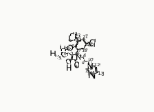 CCC1=C(O)C(=O)N(CCCn2ccnc2)C1c1cc(Cl)cc(Cl)c1O